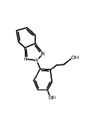 OCCc1cc(O)ccc1-n1nc2ccccc2n1